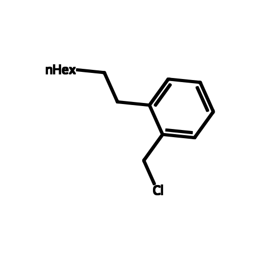 CCCCCCCCc1ccccc1CCl